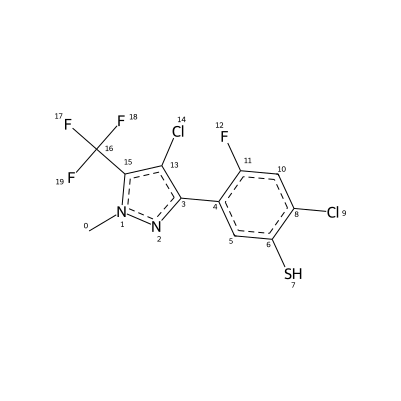 Cn1nc(-c2cc(S)c(Cl)cc2F)c(Cl)c1C(F)(F)F